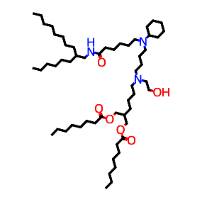 CCCCCCCCC(CCCCCC)CNC(=O)CCCCCN(CCCCN(CCO)CCCCC(COC(=O)CCCCCCC)COC(=O)CCCCCCC)C1CCCCC1